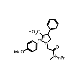 CCCN(C)C(=O)CN1CC(c2ccccc2)[C@H](C(=O)O)[C@H]1c1ccc(OC)cc1